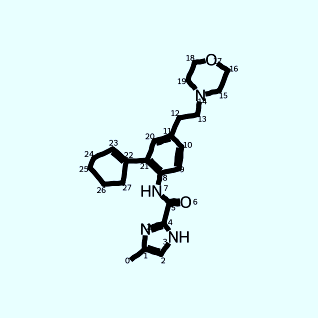 Cc1c[nH]c(C(=O)Nc2ccc(CCN3CCOCC3)cc2C2=CCCCC2)n1